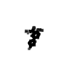 CC(=O)Oc1ccc(-c2ccc(F)cc2)cc1C(N)=O